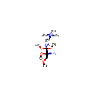 CCCC[N+](CCCC)(CCCC)CCCC.N#COCC(N)(OC#N)C(N)(OC#N)OC#N